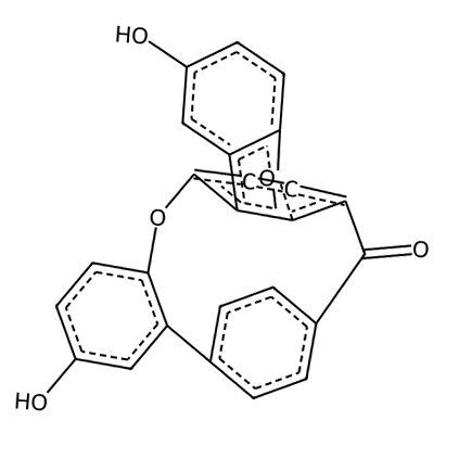 O=C1c2ccc(cc2)-c2cc(O)ccc2Oc2ccc1c1oc3ccc(O)cc3c21